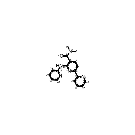 CN(C)C(=O)c1ccc(-c2ccccn2)nc1Nc1ccccn1